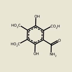 NC(=O)c1c(O)c(C(=O)O)c(C(=O)O)c(O)c1C(=O)O